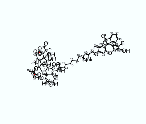 CC(=O)O[C@H]1C2C([C@@H](O)[C@@H](NC(=O)CCCCCCn3cc(COc4cc5c(cc4F)C4(OC(=O)c6ccccc64)c4cc(F)c(O)cc4O5)nn3)[C@H]3C[C@@H]4O[C@@H]4[C@H](O)[C@]23C)[C@@H]2[C@@H](O)[C@@H]3[C@H]([C@H](C)[C@H]4O[C@]45OC(=O)[C@@](C)(O)[C@]35C)[C@@]2(C)[C@H]1OC(C)=O